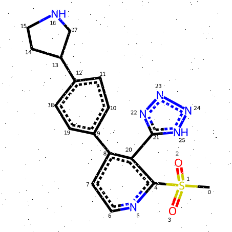 CS(=O)(=O)c1nccc(-c2ccc(C3CCNC3)cc2)c1-c1nnn[nH]1